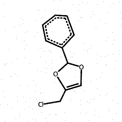 ClCC1=COC(c2ccccc2)O1